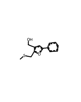 CSCc1oc(-c2ccccc2)cc1CO